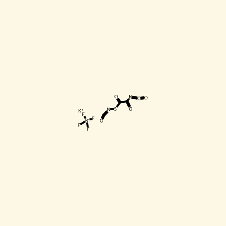 F[B-](F)(F)F.O=C=NSC(=O)C(=O)N=C=O.[K+]